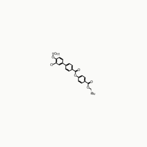 CCCCCCCCOc1ccc(-c2ccc(C(=O)Oc3ccc(C(=O)OC[C@@H](C)CC)cc3)cc2)cc1Cl